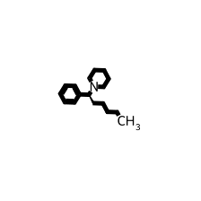 CCCCC[C@@H](c1ccccc1)N1CCCCC1